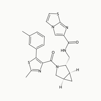 Cc1cccc(-c2sc(C)nc2C(=O)N2C[C@@H]3C[C@@H]3[C@H]2CNC(=O)c2cn3ccsc3n2)c1